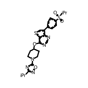 CC(C)c1noc(N2CCC(Oc3ncnc4c(-c5ccc(S(=O)(=O)C(C)C)cc5)csc34)CC2)n1